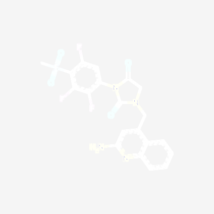 CS(=O)(=O)c1c(F)cc(N2C(=O)CN(Cc3cc(N)nc4ccccc34)C2=O)c(F)c1F